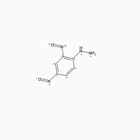 NNc1ccc(N=O)cc1N=O